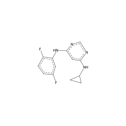 Fc1ccc(F)c(Nc2cc(NC3CC3)ncn2)c1